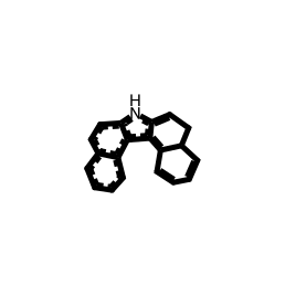 C1=CC2=c3c([nH]c4ccc5ccccc5c34)=CCC2C=C1